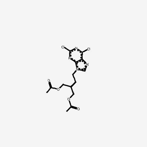 CC(=O)OCC(CCn1cnc2c(Cl)nc(Cl)nc21)COC(C)=O